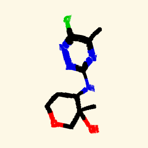 Cc1nc(N[C@@H]2CCOC[C@@]2(C)O)nnc1Cl